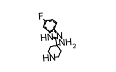 NC1(c2nc3ccc(F)cc3[nH]2)CCNCC1